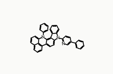 c1ccc(-c2ccc(-n3c4ccccc4c4c5c(ccc43)-c3cccc4cccc(c34)N5c3ccccc3)nc2)cc1